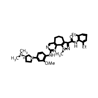 CCc1cccc(CC)c1NC(=O)c1nn(C)c2c1CCCc1cnc(Nc3ccc(N4CC[C@@H](N(C)C)C4)cc3OC)nc1-2